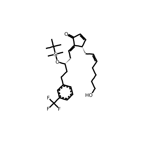 CC(C)(C)[Si](C)(C)O[C@H](C/C=C1/C(=O)C=C[C@@H]1C/C=C\CCCCO)CCc1cccc(C(F)(F)F)c1